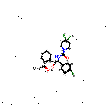 COC(=O)[C@@H]1CCCC[C@H]1C(=O)C(NC(=O)N1CCC(F)(F)CC1)c1ccc(Br)cc1